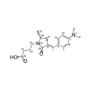 CN(C)c1ccc(/C=C2\SC(=S)N(CCCC(=O)O)C2=O)cc1